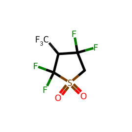 O=S1(=O)CC(F)(F)C(C(F)(F)F)C1(F)F